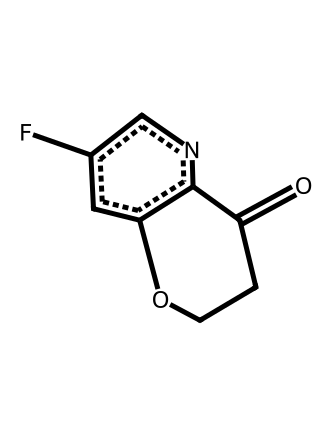 O=C1CCOc2cc(F)cnc21